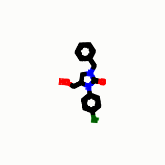 O=C1N(Cc2ccccc2)CC(CO)N1c1ccc(Br)cc1